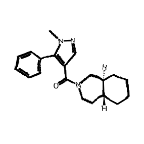 Cn1ncc(C(=O)N2CC[C@H]3CCCC[C@@H]3C2)c1-c1ccccc1